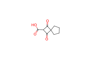 O=C(O)C1C(=O)C2(CCCC2)C1=O